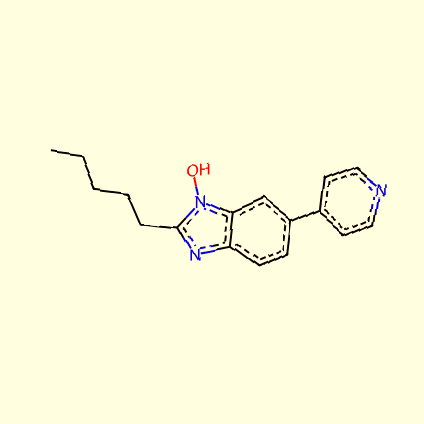 CCCCCc1nc2ccc(-c3ccncc3)cc2n1O